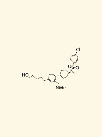 CNCc1cc(CCCCCO)ccc1[C@H]1CC[C@H](N(C)S(=O)(=O)c2ccc(Cl)cc2)CC1